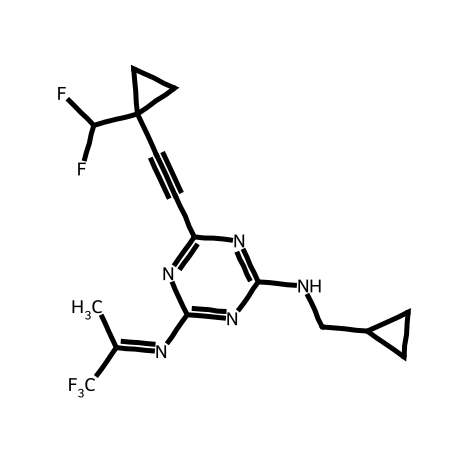 C/C(=N\c1nc(C#CC2(C(F)F)CC2)nc(NCC2CC2)n1)C(F)(F)F